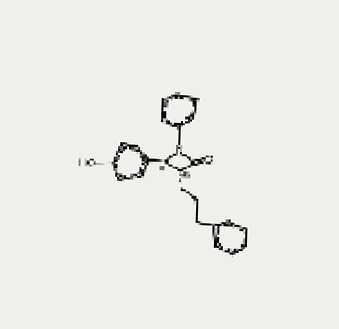 O=C1[C@H](CCCc2ccccc2)[C@@H](c2ccc(O)cc2)N1c1ccccc1